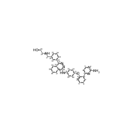 Nc1nccc(-c2cccnc2Oc2ccc(Nc3nnc(-c4cccc(CNCCO)c4)c4ccccc34)cc2)n1